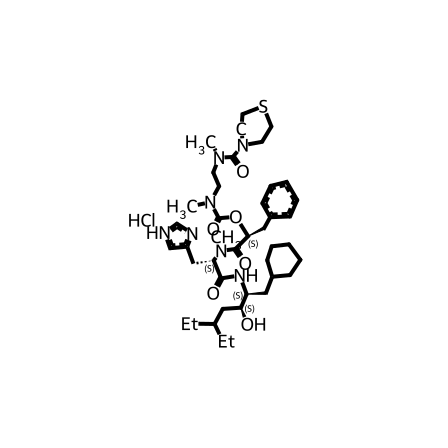 CCC(CC)C[C@H](O)[C@H](CC1CCCCC1)NC(=O)[C@H](Cc1c[nH]cn1)N(C)C(=O)[C@H](Cc1ccccc1)OC(=O)N(C)CCN(C)C(=O)N1CCSCC1.Cl